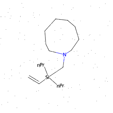 C=C[Si](CCC)(CCC)CN1CCCCCCCC1